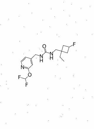 CCC1(CNC(=O)NCc2ccnc(OC(F)F)c2)CC(F)C1